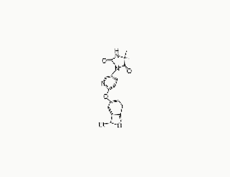 CCC1OC=C2CC=C(Oc3ccc(N4C(=O)NC(C)(C)C4=O)cn3)C=C21